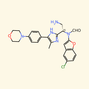 Cc1nc([C@H](CN)N(C=O)c2cc3cc(Cl)ccc3o2)[nH]c1-c1ccc(N2CCOCC2)cc1